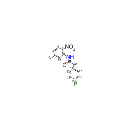 Cc1ccc([N+](=O)[O-])c(NC(=O)Cc2ccc(F)cc2)c1